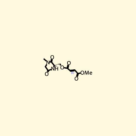 COC(=O)/C=C/C(=O)OC[C@@H]1NC(=O)CN(C)C1=O